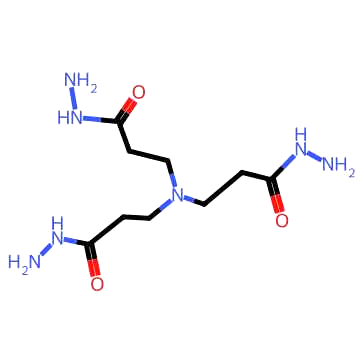 NNC(=O)CCN(CCC(=O)NN)CCC(=O)NN